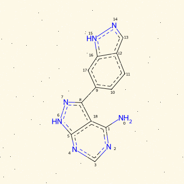 Nc1ncnc2[nH]nc(-c3ccc4cn[nH]c4c3)c12